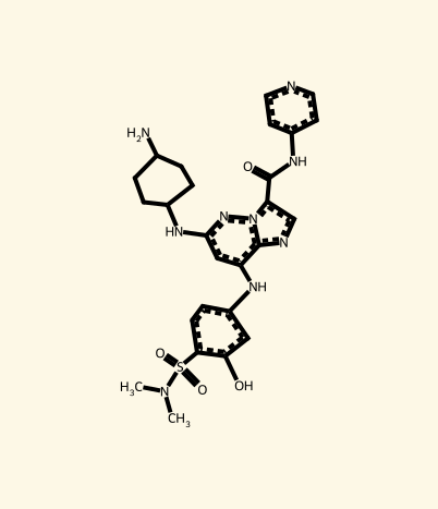 CN(C)S(=O)(=O)c1ccc(Nc2cc(NC3CCC(N)CC3)nn3c(C(=O)Nc4ccncc4)cnc23)cc1O